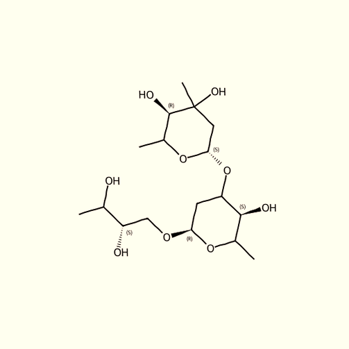 CC1O[C@@H](OC[C@H](O)C(C)O)CC(O[C@H]2CC(C)(O)[C@H](O)C(C)O2)[C@H]1O